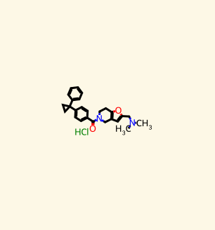 CN(C)Cc1cc2c(o1)CCN(C(=O)c1ccc(C3(c4ccccc4)CC3)cc1)C2.Cl